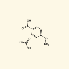 NNc1ccc(C(=O)O)cc1.O=[N+]([O-])O